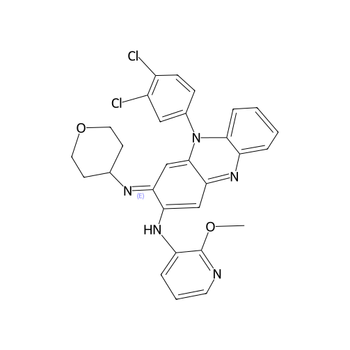 COc1ncccc1Nc1cc2nc3ccccc3n(-c3ccc(Cl)c(Cl)c3)c-2c/c1=N\C1CCOCC1